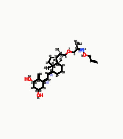 C=CCO/N=C(\COC[C@@H](C)[C@H]1CC[C@H]2/C(=C/C=C3/C[C@@H](O)C[C@H](O)C3=C)CCC[C@]12C)C(C)(C)C